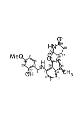 COc1ccc(CNc2cccc3c(C)nn(C4CCC(=O)NC4=O)c(=O)c23)c(O)c1